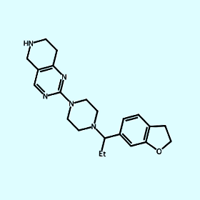 CCC(c1ccc2c(c1)OCC2)N1CCN(c2ncc3c(n2)CCNC3)CC1